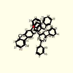 c1ccc(-c2nc3c(c(-n4c5ccccc5c5cc6oc7ccccc7c6cc54)n2)[Si](c2ccccc2)(c2ccccc2)c2ccccc2-3)cc1